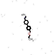 C=CCOCc1ccc(C2CCC(/C=C/CCC)CC2)cc1